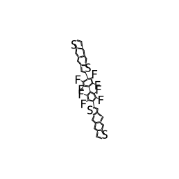 Fc1c(F)c(-c2c(F)c(F)c(-c3cc4cc5cc6sccc6cc5cc4s3)c(F)c2F)c(F)c(F)c1-c1cc2cc3cc4sccc4cc3cc2s1